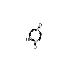 O=[n+]1cc[nH][n+](=O)cc1